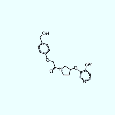 CCCc1ccncc1OC1CCN(C(=O)COc2ccc(CO)cc2)C1